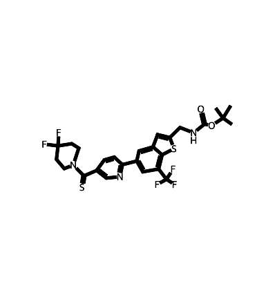 CC(C)(C)OC(=O)NCc1cc2cc(-c3ccc(C(=S)N4CCC(F)(F)CC4)cn3)cc(C(F)(F)F)c2s1